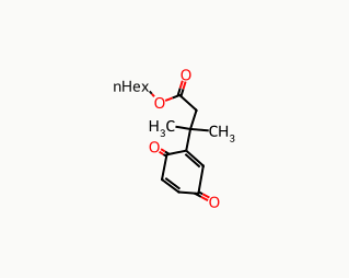 CCCCCCOC(=O)CC(C)(C)C1=CC(=O)C=CC1=O